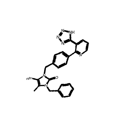 CCCc1c(C)n(Cc2ccccc2)c(=O)n1Cc1ccc(-c2ncccc2-c2nnn[nH]2)cc1